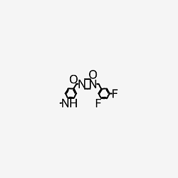 CNc1ccc(C(=O)N2CCN(Cc3cc(F)cc(F)c3)C(=O)C2)cc1